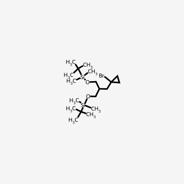 CC(C)(C)[Si](C)(C)OCC(CO[Si](C)(C)C(C)(C)C)CC1(Br)CC1